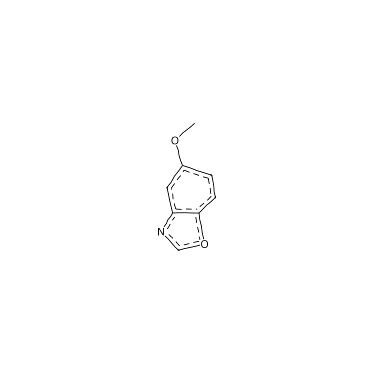 COc1ccc2ocnc2c1